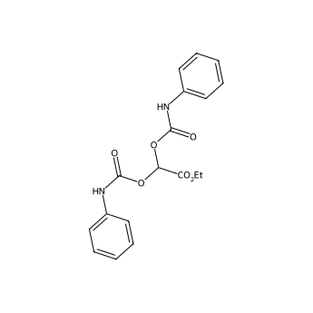 CCOC(=O)C(OC(=O)Nc1ccccc1)OC(=O)Nc1ccccc1